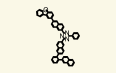 c1ccc(-c2nc(-c3ccc4cc(-c5ccc6oc7ccccc7c6c5)ccc4c3)nc(-c3ccc4cc(-c5ccccc5-c5ccc6ccccc6c5)ccc4c3)n2)cc1